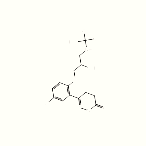 Cc1ccc(OCC(O)CNC(C)(C)C)c(C2=NNC(=O)CC2)c1